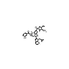 CCC1CN(C(=O)c2cc(OC)c3c(c2)nc(-c2cc4cccnc4n2CC2CC2)n3CC2CN(C(=O)c3cccc(Cl)c3)C2)C(C)C1N